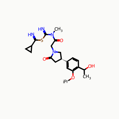 CC(C)Oc1cc([C@@H]2CC(=O)N(CC(=O)N(C)C(=N)SC(=N)C3CC3)C2)ccc1C(C)O